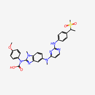 COc1ccc(N(C(=O)O)c2nc3cc(N(C)c4ccnc(Nc5ccc(C(C)S(C)(=O)=O)cc5)n4)ccc3n2C)cc1